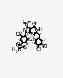 CN(C)c1nn(-c2c(Cl)cc(S(N)(=O)=O)cc2Cl)c2nc(Cc3ccc(Cl)c(Cl)c3)[nH]c(=O)c12